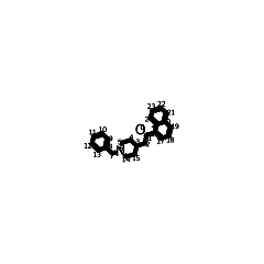 O=C(CC1CCN(Cc2ccccc2)CC1)c1cccc2ccccc12